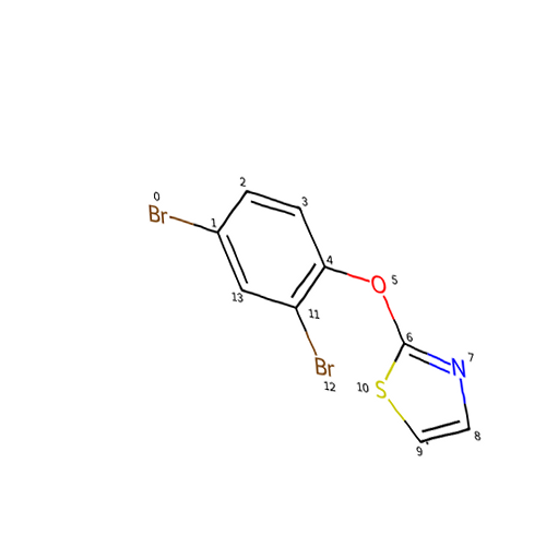 Brc1ccc(Oc2nc[c]s2)c(Br)c1